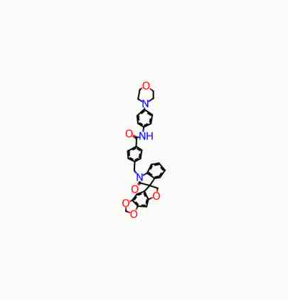 O=C(Nc1ccc(N2CCOCC2)cc1)c1ccc(CN2C(=O)C3(COc4cc5c(cc43)OCO5)c3ccccc32)cc1